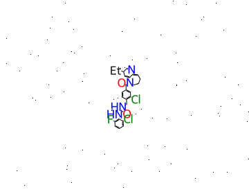 CCC1C=NC2=CCCCN(C(=O)c3ccc(CNC(=O)Nc4c(F)cccc4Cl)c(Cl)c3)C2=C1